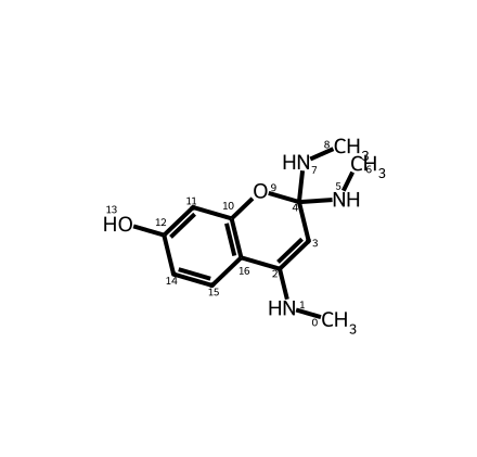 CNC1=CC(NC)(NC)Oc2cc(O)ccc21